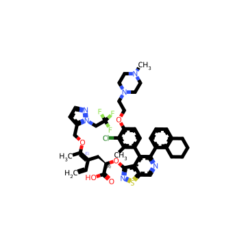 C=C/C(C[C@@H](Oc1nsc2cnc(-c3cccc4c3CCCC4)c(-c3ccc(OCCN4CCN(C)CC4)c(Cl)c3C)c12)C(=O)O)=C(\C)OCc1ccnn1CC(F)(F)F